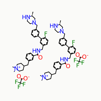 C[C@H]1CN(Cc2cccc(-c3cc(CNC(=O)c4cccc(CC5CC[N+](C)(C)CC5)c4)ccc3F)c2)CCN1.C[C@H]1CN(Cc2cccc(-c3cc(CNC(=O)c4cccc(CC5CC[N+](C)(C)CC5)c4)ccc3F)c2)CCN1.O=C([O-])C(F)(F)F.O=C([O-])C(F)(F)F